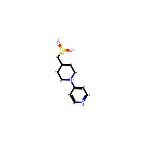 O=[SH](=O)CC1CCN(c2ccncc2)CC1